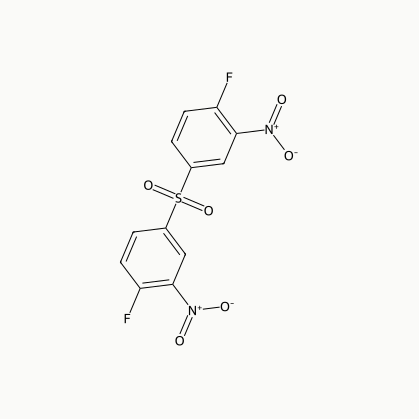 O=[N+]([O-])c1cc(S(=O)(=O)c2ccc(F)c([N+](=O)[O-])c2)ccc1F